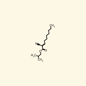 CCCCCCC/C=C(\C#N)C(=O)OCC(C)C